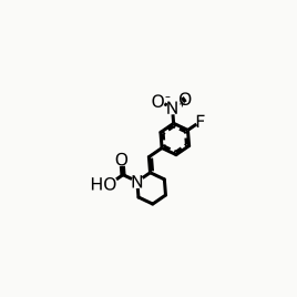 O=C(O)N1CCCCC1=Cc1ccc(F)c([N+](=O)[O-])c1